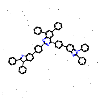 c1ccc(C2=Nc3cc(-c4ccc(-c5nc(-c6ccc(-c7ccc8c(c7)nc(-c7ccccc7)n8-c7ccccc7)cc6)c6cc(-c7ccccc7)cc(-c7ccccc7)c6n5)cc4)ccc3C2c2ccccc2)cc1